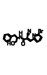 N#C/C(=C\c1cccc(Br)n1)C(=O)NC(CO)Cc1ccccc1